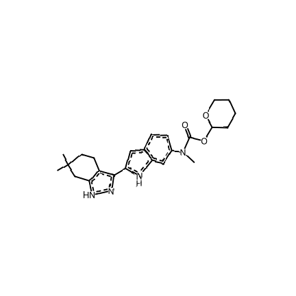 CN(C(=O)OC1CCCCO1)c1ccc2cc(-c3n[nH]c4c3CCC(C)(C)C4)[nH]c2c1